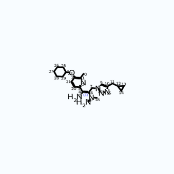 Cc1nc(/C(N)=C(\Cn2cc(CC3CC3)nn2)N(C)N)ccc1OC1CCCCC1